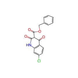 O=C1Nc2cc(Cl)ccc2C(=O)C1C(=O)OCc1ccccc1